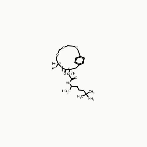 CC(C)[C@H]1COCCCCOc2ccc(cc2)C[C@@H](NC(=O)NC(CCCC(C)(C)N)C(=O)O)C(=O)N1